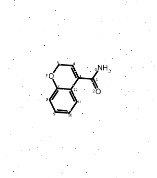 NC(=O)C1=CCOc2ccccc21